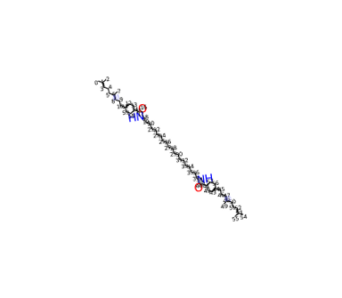 CC(C)=CCC/C(C)=C/CCC1=CCC(C(=O)NCCCCCCCCCCCCCCCCCCCCNC(=O)C2CC=C(CC/C=C(\C)CCC=C(C)C)CC2)CC1